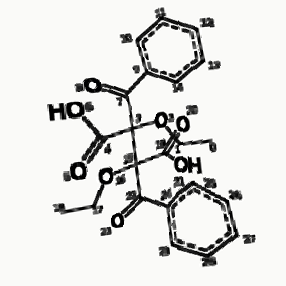 CCOC(C(=O)O)(C(=O)c1ccccc1)C(OCC)(C(=O)O)C(=O)c1ccccc1